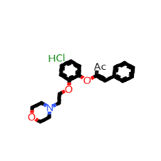 CC(=O)/C(=C\c1ccccc1)Oc1ccccc1OCCN1CCOCC1.Cl